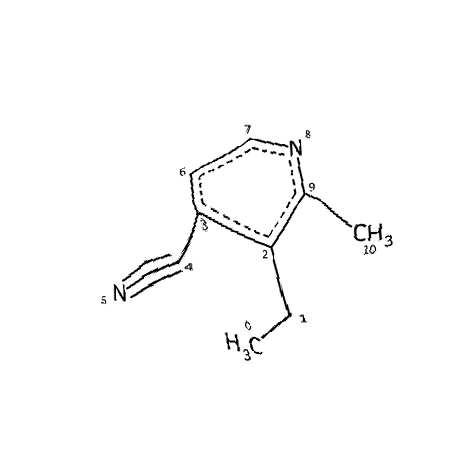 CCc1c(C#N)ccnc1C